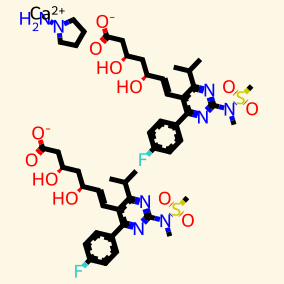 CC(C)c1nc(N(C)S(C)(=O)=O)nc(-c2ccc(F)cc2)c1C=C[C@@H](O)C[C@@H](O)CC(=O)[O-].CC(C)c1nc(N(C)S(C)(=O)=O)nc(-c2ccc(F)cc2)c1C=C[C@@H](O)C[C@@H](O)CC(=O)[O-].NN1CCCC1.[Ca+2]